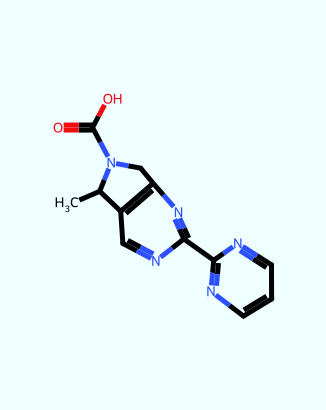 CC1c2cnc(-c3ncccn3)nc2CN1C(=O)O